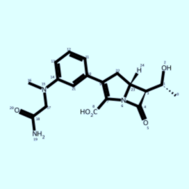 C[C@@H](O)[C@H]1C(=O)N2C(C(=O)O)=C(c3cccc(N(C)CC(N)=O)c3)C[C@H]12